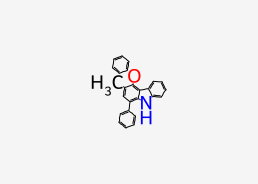 Cc1cc(-c2ccccc2)c2[nH]c3ccccc3c2c1Oc1ccccc1